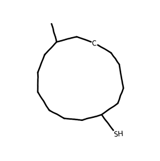 CC1CCCCCCC(S)CCCCCC1